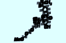 COCCOCCOCCC(=O)NC(C(=O)N1C[C@H](O)C[C@H]1C(=O)NCc1ccc(-c2scnc2C)cc1)C(C)(C)C